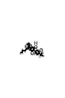 CCCCCCC1(c2cc(O)c([C@H]3CC[C@H](C(C)(C)C)C(=O)C3)c(O)c2)OCCO1